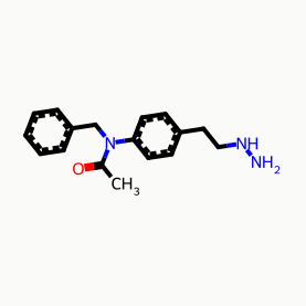 CC(=O)N(Cc1ccccc1)c1ccc(CCNN)cc1